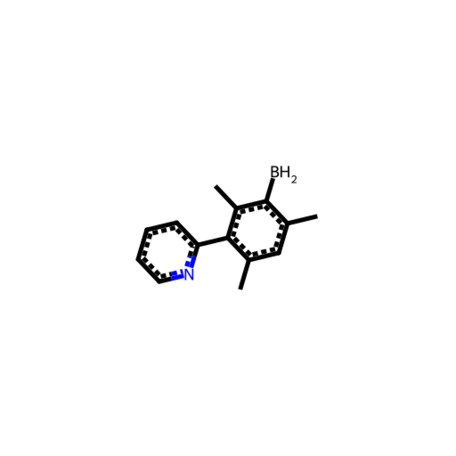 Bc1c(C)cc(C)c(-c2ccccn2)c1C